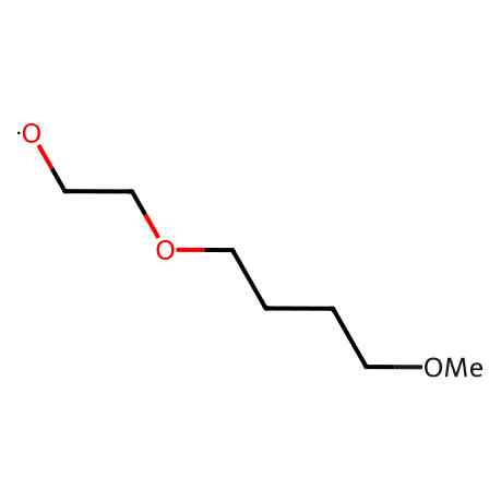 COCCCCOCC[O]